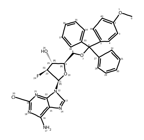 COc1ccc(C(OC[C@H]2O[C@@H](n3cnc4c(N)nc(Cl)nc43)[C@@H](F)[C@@H]2O)(c2ccccc2)c2ccccc2)cc1